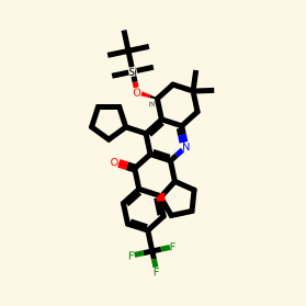 CC1(C)Cc2nc(C3CCCC3)c(C(=O)c3ccc(C(F)(F)F)cc3)c(C3CCCC3)c2[C@@H](O[Si](C)(C)C(C)(C)C)C1